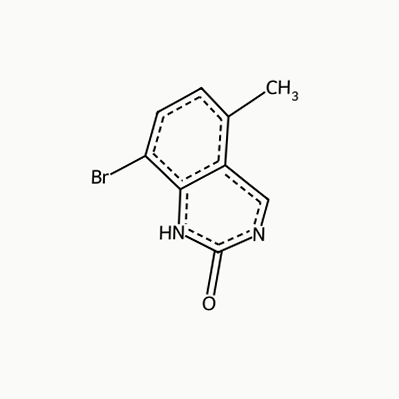 Cc1ccc(Br)c2[nH]c(=O)ncc12